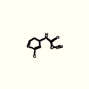 CC(C)(C)OC(=O)NC1C=C(Cl)N=CC1